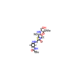 CCn1c(=C(C#N)C(=O)NC(CO)C(=O)OC)sc(=CNc2cccc(NC(=O)C(C)(C)C)c2)c1=O